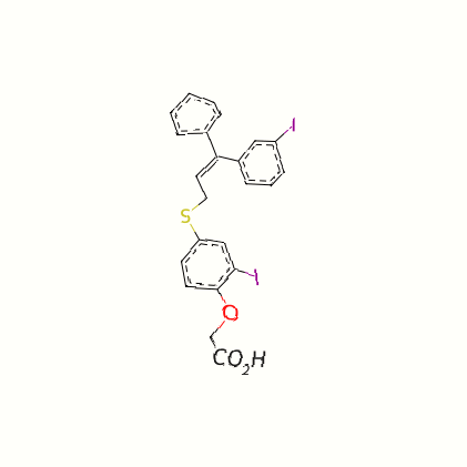 O=C(O)COc1ccc(SCC=C(c2ccccc2)c2cccc(I)c2)cc1I